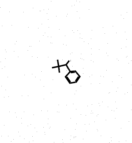 [CH]C(c1ccccc1)C(C)(C)C